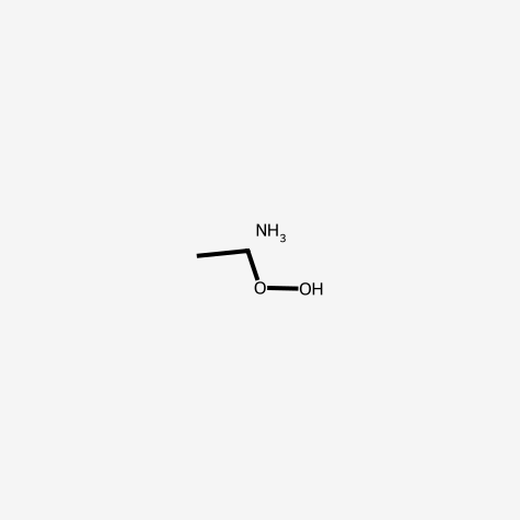 CCOO.N